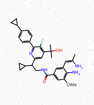 COc1cc(C(=O)NCC(c2cc(C(C)(C)O)c(F)c(-c3ccc(C4CC4)cc3)n2)C2CC2)cc(/C=C(/C)N)c1N